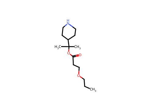 CCCOCCC(=O)OC(C)(C)C1CCNCC1